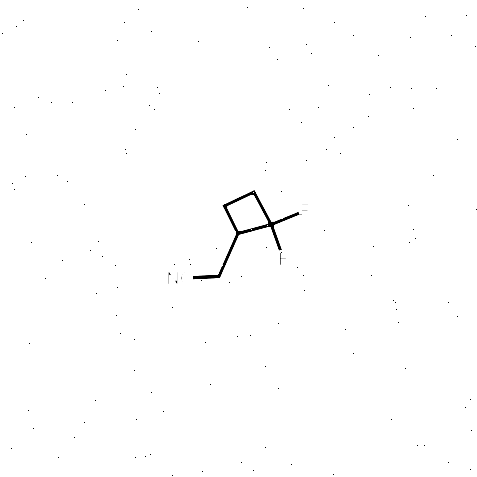 N#CCC1CCC1(F)F